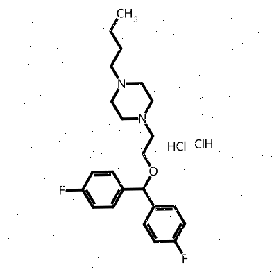 CCCCN1CCN(CCOC(c2ccc(F)cc2)c2ccc(F)cc2)CC1.Cl.Cl